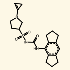 O=C(Nc1c2c(cc3c1CCC3)CCC2)NS(=O)(=O)C1CCN(C2=CC2)C1